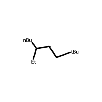 CCCCC([CH]CC(C)(C)C)CC